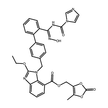 CCOc1nc2cccc(C(=O)OCc3oc(=O)oc3C)c2n1Cc1ccc(-c2ccccc2C(=NO)NC(=O)n2ccnc2)cc1